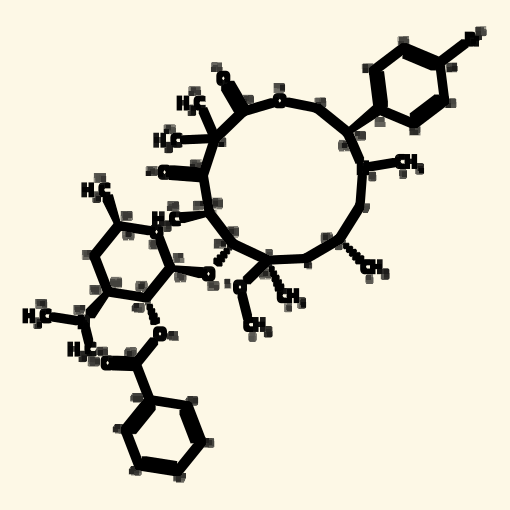 CO[C@]1(C)C[C@@H](C)CN(C)[C@H](c2ccc(Br)cc2)COC(=O)C(C)(C)C(=O)[C@H](C)[C@H]1O[C@@H]1O[C@H](C)C[C@H](N(C)C)[C@H]1OC(=O)c1ccccc1